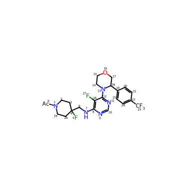 CC(=O)N1CCC(F)(CNc2ncnc(N3CCOCC3c3ccc(C(F)(F)F)cc3)c2F)CC1